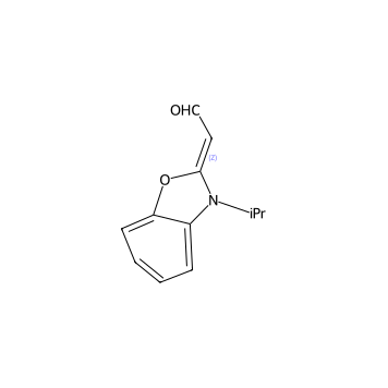 CC(C)N1/C(=C/C=O)Oc2ccccc21